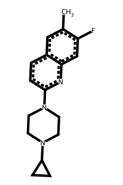 Cc1cc2ccc(N3CCN(C4CC4)CC3)nc2cc1F